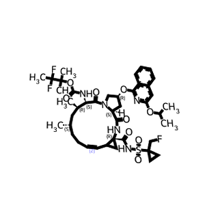 CC(C)Oc1cc2ccccc2c(O[C@@H]2C[C@H]3C(=O)N[C@]4(C(=O)NS(=O)(=O)C5(CF)CC5)CC4/C=C\CC[C@H](C)C[C@@H](C)[C@H](NC(=O)OC(C)(C)C(C)(F)F)C(=O)N3C2)n1